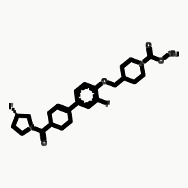 CC(C)(C)OC(=O)N1CCC(COc2ccc(C3=CCC(C(=O)N4CC[C@H](F)C4)CC3)cc2F)CC1